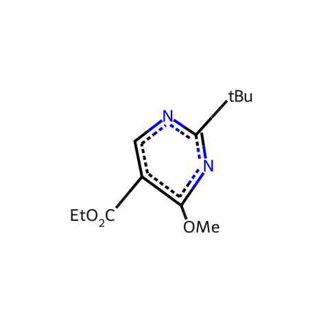 CCOC(=O)c1cnc(C(C)(C)C)nc1OC